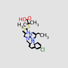 CCc1cnc(N(Cc2csc(SC(C)(C)C(=O)O)n2)Cc2ccc3cc(Cl)ccc3n2)nc1